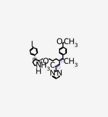 CC(=O)c1ccc(/C(C)=C(/C=C(\C)c2ncccn2)CCCOC[C@H]2NCC[C@@H]2c2ccc(I)cc2)cc1